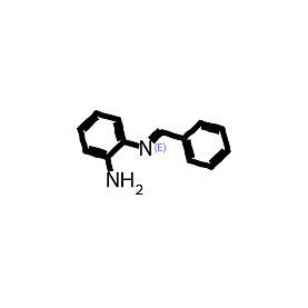 Nc1ccccc1/N=C/c1ccccc1